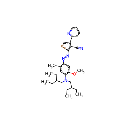 CCC(CC)CN(CC(CC)CC)c1cc(C)c(/N=N/c2scc(-c3ccccn3)c2C#N)cc1OC